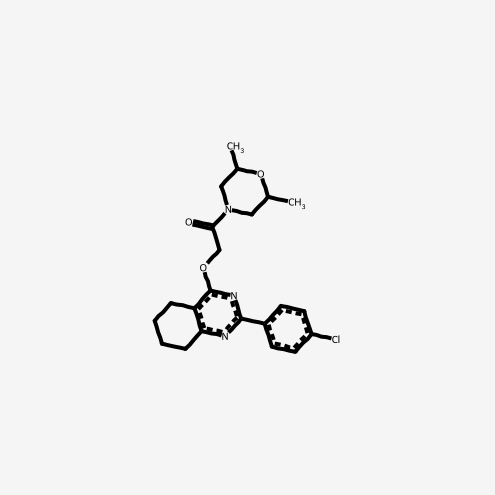 CC1CN(C(=O)COc2nc(-c3ccc(Cl)cc3)nc3c2CCCC3)CC(C)O1